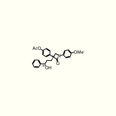 COc1ccc(N2C[C@@](CC[C@@H](O)c3ccccc3)(c3ccc(OC(C)=O)cc3)C2=O)cc1